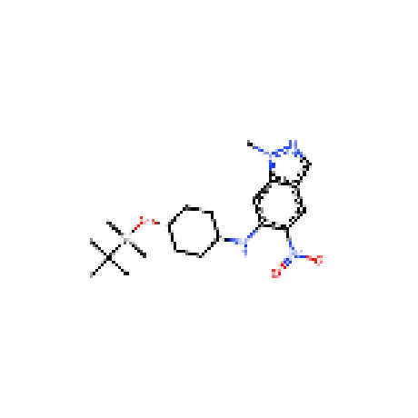 Cn1ncc2cc([N+](=O)[O-])c(N[C@H]3CC[C@H](O[Si](C)(C)C(C)(C)C)CC3)cc21